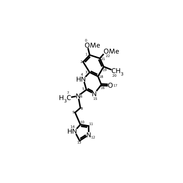 COc1cc2[nH]c(N(C)CCc3cnc[nH]3)nc(=O)c2c(C)c1OC